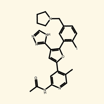 CC(=O)Nc1cc(-c2cc(-c3nnc[nH]3)c(-c3cc(CN4CCCC4)ccc3I)o2)c(C)cn1